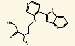 CN(CCOc1cnccc1-c1cc2ncccc2[nH]1)C(=O)OC(C)(C)C